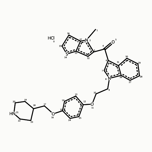 Cl.Cn1c(C(=O)c2cn(CCOc3ccc(OCC4CCNCC4)cc3)c3ccccc23)cc2sccc21